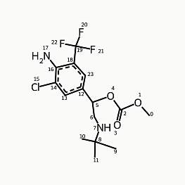 COC(=O)OC(CNC(C)(C)C)c1cc(Cl)c(N)c(C(F)(F)F)c1